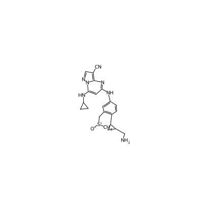 C[S+]([O-])Cc1cc(Nc2cc(NC3CC3)n3ncc(C#N)c3n2)ccc1C1CC1CN